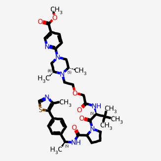 COC(=O)c1ccc(N2C[C@@H](C)N(CCOCC(=O)N[C@H](C(=O)N3CCCC3C(=O)N[C@@H](C)c3ccc(-c4scnc4C)cc3)C(C)(C)C)[C@@H](C)C2)nc1